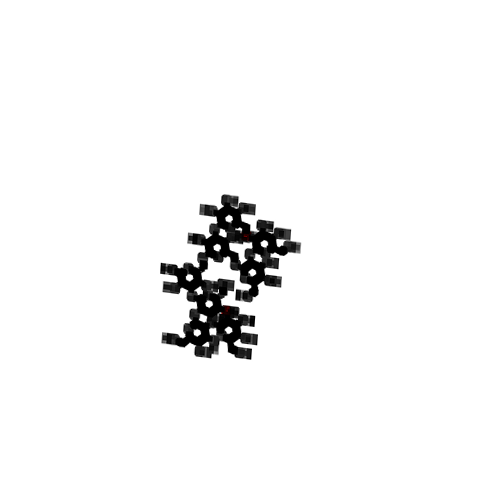 OC[C@H]1O[C@H](O[C@@H]2[C@H](O)[C@@H](OC[C@H]3OC(O)[C@@H](O)[C@@H](O[C@H]4O[C@H](CO)[C@@H](O)[C@H](O)[C@@H]4O[C@H]4O[C@H](CO)[C@@H](O)[C@H](O)[C@@H]4O[C@H]4O[C@H](CO)[C@@H](O)[C@H](O)[C@@H]4O)[C@@H]3O)O[C@H](CO[C@H]3O[C@H](CO)[C@@H](O)[C@H](O)[C@@H]3O[C@H]3O[C@H](CO)[C@@H](O)[C@H](O)[C@@H]3O)[C@H]2O)[C@@H](O)[C@@H](O)[C@@H]1O